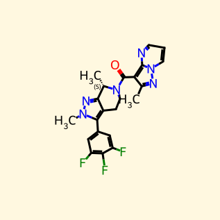 Cc1nn2cccnc2c1C(=O)N1CCc2c(nn(C)c2-c2cc(F)c(F)c(F)c2)[C@@H]1C